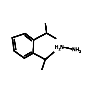 CC(C)c1ccccc1C(C)C.NN